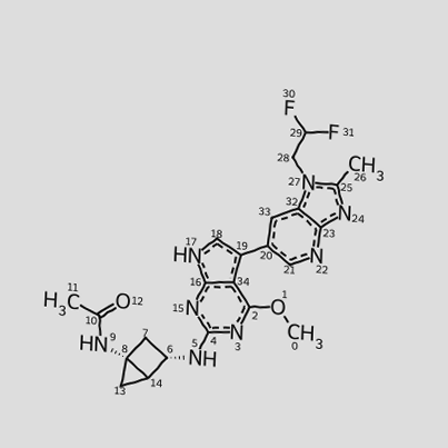 COc1nc(N[C@H]2C[C@]3(NC(C)=O)CC23)nc2[nH]cc(-c3cnc4nc(C)n(CC(F)F)c4c3)c12